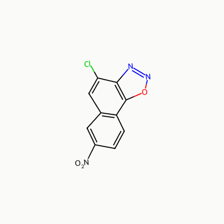 O=[N+]([O-])c1ccc2c(c1)cc(Cl)c1nnoc12